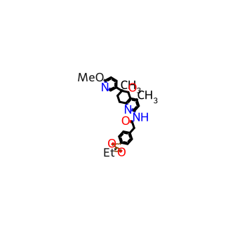 CCS(=O)(=O)c1ccc(CC(=O)Nc2cc(C)c3c(n2)CCC(C)(c2ccc(OC)nc2)C3=O)cc1